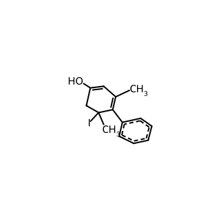 CC1=C(c2ccccc2)C(C)(I)CC(O)=C1